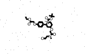 CCOC(=O)COc1ccc(C2CC(OCC(=O)N(C)CC=O)CC[N@+]2(C)C(=O)OC(C)(C)C)cc1